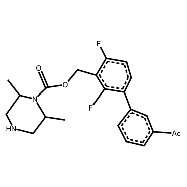 CC(=O)c1cccc(-c2ccc(F)c(COC(=O)N3C(C)CNCC3C)c2F)c1